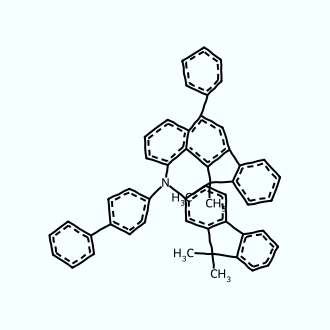 CC1(C)c2ccccc2-c2ccc(N(c3ccc(-c4ccccc4)cc3)c3cccc4c(-c5ccccc5)cc5c(c34)C(C)(C)c3ccccc3-5)cc21